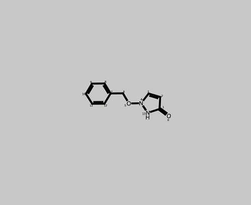 O=c1ccn(OCc2ccccc2)[nH]1